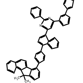 CC1(C)c2cccc(-c3ccc(-c4ccc(-c5cc(-c6cccc(-c7ccccc7)c6)nc(-c6ccccc6)n5)c5ccccc45)cc3)c2-c2ccc3ccccc3c21